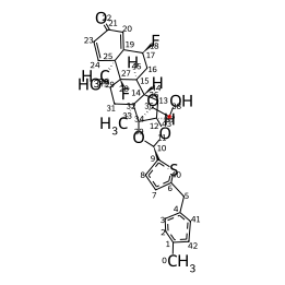 Cc1ccc(Cc2ccc([C@@H]3O[C@@H]4C[C@H]5[C@@H]6C[C@H](F)C7=CC(=O)C=C[C@]7(C)[C@@]6(F)[C@@H](O)C[C@]5(C)[C@]4(C(=O)CO)O3)s2)cc1